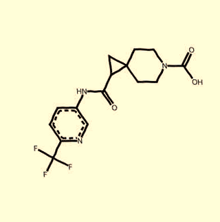 O=C(Nc1ccc(C(F)(F)F)nc1)C1CC12CCN(C(=O)O)CC2